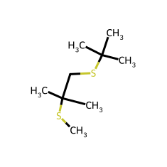 CSC(C)(C)CSC(C)(C)C